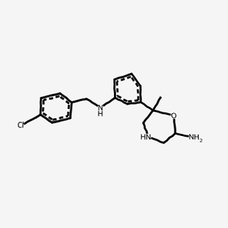 CC1(c2cccc(NCc3ccc(Cl)cc3)c2)CNCC(N)O1